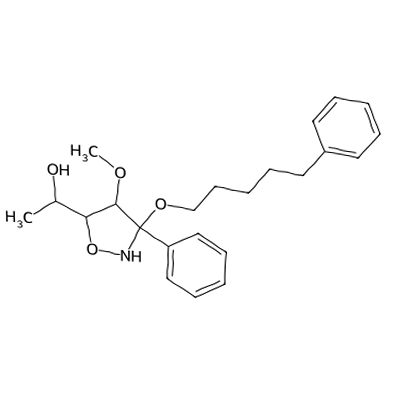 COC1C(C(C)O)ONC1(OCCCCCc1ccccc1)c1ccccc1